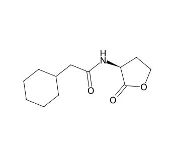 O=C(CC1CCCCC1)N[C@H]1CCOC1=O